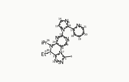 CC[C@@H]1c2nnc(C)n2-c2cnc(-n3ccnc3-c3ccccn3)nc2N1C(C)C